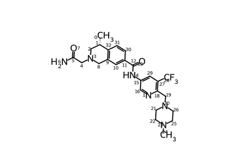 C[C@H]1CN(CC(N)=O)Cc2cc(C(=O)Nc3cnc(CN4CCN(C)CC4)c(C(F)(F)F)c3)ccc21